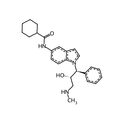 CNC[C@H](O)[C@H](c1ccccc1)n1ccc2cc(NC(=O)C3CCCCC3)ccc21